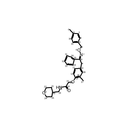 Cc1ccc(CON=C(Cc2ccc(OCC(=O)NCC3CCOCC3)c(C)c2)c2ccccc2)cc1